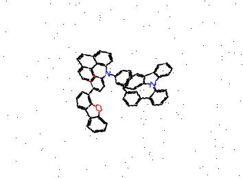 c1cc(-c2cccc(N(c3ccc(-c4cccc5c4oc4ccccc45)cc3)c3cccc4ccc5ccccc5c34)c2)cc(-c2ccccc2-n2c3ccccc3c3ccccc32)c1